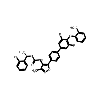 Cc1noc(-c2ccc(-c3cc(F)c(Oc4ccccc4C(=O)O)c(F)c3)cc2)c1NC(=O)O[C@H](C)c1ccccc1Cl